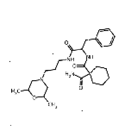 CC1CN(CCCNC(=O)C(Cc2ccccc2)NC(=O)C2(C(N)=O)CCCCC2)CC(C)O1